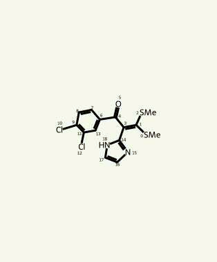 CSC(SC)=C(C(=O)c1ccc(Cl)c(Cl)c1)c1ncc[nH]1